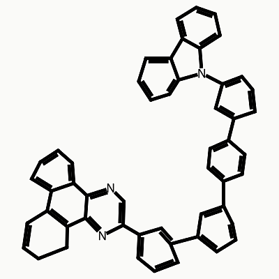 C1=Cc2c(c3nc(-c4cccc(-c5cccc(-c6ccc(-c7cccc(-n8c9ccccc9c9ccccc98)c7)cc6)c5)c4)cnc3c3ccccc23)CC1